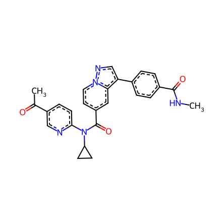 CNC(=O)c1ccc(-c2cnn3ccc(C(=O)N(c4ccc(C(C)=O)cn4)C4CC4)cc23)cc1